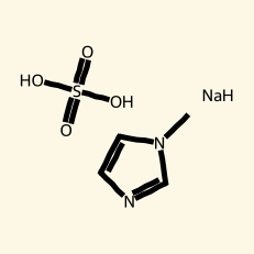 Cn1ccnc1.O=S(=O)(O)O.[NaH]